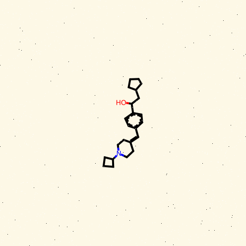 OC(CC1CCCC1)c1ccc(C=C2CCN(C3CCC3)CC2)cc1